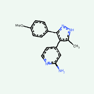 COc1ccc(-c2n[nH]c(C)c2-c2ccnc(N)c2)cc1